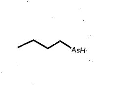 CCCC[AsH]